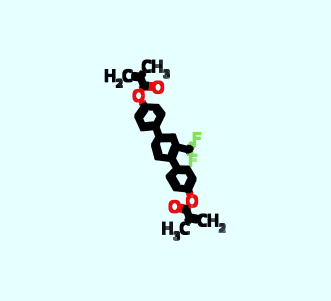 C=C(C)C(=O)Oc1ccc(-c2ccc(-c3ccc(OC(=O)C(=C)C)cc3)c(C(F)F)c2)cc1